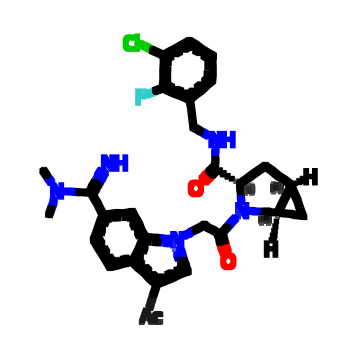 CC(=O)c1cn(CC(=O)N2[C@@H]3C[C@@H]3C[C@H]2C(=O)NCc2cccc(Cl)c2F)c2cc(C(=N)N(C)C)ccc12